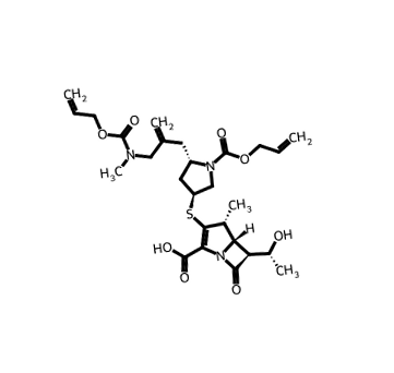 C=CCOC(=O)N(C)CC(=C)C[C@H]1C[C@H](SC2=C(C(=O)O)N3C(=O)[C@H]([C@@H](C)O)[C@H]3[C@H]2C)CN1C(=O)OCC=C